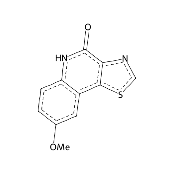 COc1ccc2[nH]c(=O)c3ncsc3c2c1